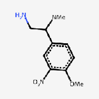 CNC(CN)c1ccc(OC)c([N+](=O)[O-])c1